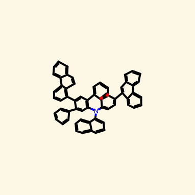 c1ccc(-c2cc(N(c3ccc(-c4cc5ccccc5c5ccccc45)cc3)c3cccc4ccccc34)c(-c3ccccc3)cc2-c2cccc3c2ccc2ccccc23)cc1